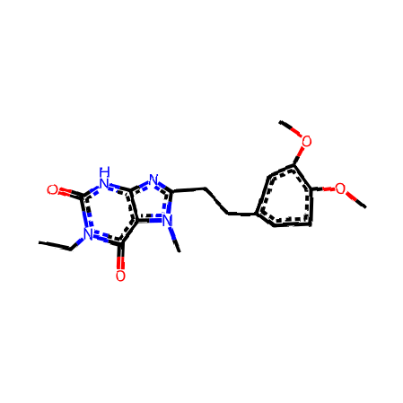 CCn1c(=O)[nH]c2nc(CCc3ccc(OC)c(OC)c3)n(C)c2c1=O